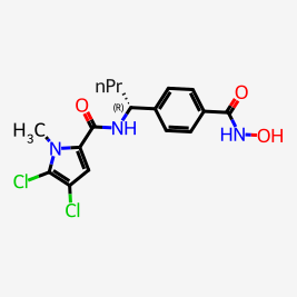 CCC[C@@H](NC(=O)c1cc(Cl)c(Cl)n1C)c1ccc(C(=O)NO)cc1